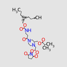 C#CCC[C@@H]1[C@H](CCC)[C@@H]1COC(=O)NCCC(=O)N1CCN(CC(=O)ON2C(=O)CCC2=O)C(COC(=O)C(C)C)C1